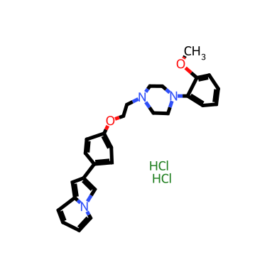 COc1ccccc1N1CCN(CCOc2ccc(-c3cc4ccccn4c3)cc2)CC1.Cl.Cl